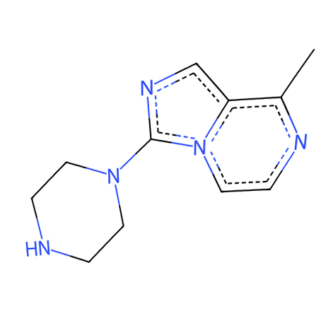 Cc1nccn2c(N3CCNCC3)ncc12